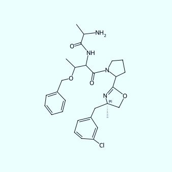 CC(N)C(=O)NC(C(=O)N1CCCC1C1=N[C@](C)(Cc2cccc(Cl)c2)CO1)C(C)OCc1ccccc1